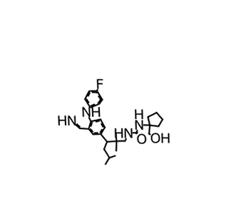 CC(C)CC(c1ccc(Nc2ccc(F)cc2)c(C=N)c1)C(C)(C)CNC(=O)NC1(CO)CCCC1